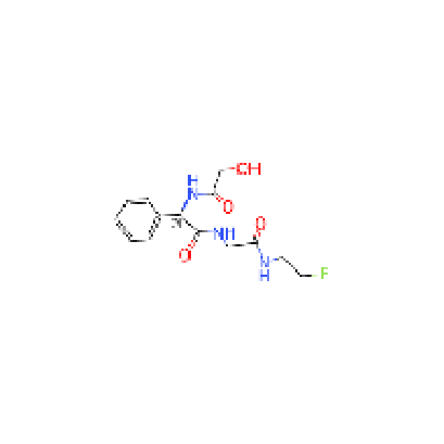 O=C(CNC(=O)[C@H](NC(=O)CO)c1ccccc1)NCCF